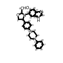 O=CC1OCC(c2ccc(N3CCN(c4ccccc4)CC3)cc2)N1c1ccc2nc[nH]c2c1